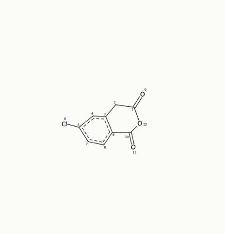 O=C1Cc2cc(Cl)ccc2C(=O)O1